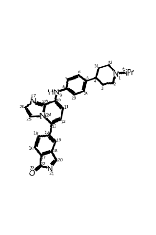 CC(C)N1CCC(c2ccc(Nc3ccc(-c4ccc5c(c4)C=NC5=O)n4ccnc34)cc2)CC1